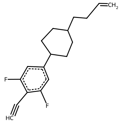 C#Cc1c(F)cc(C2CCC(CCC=C)CC2)cc1F